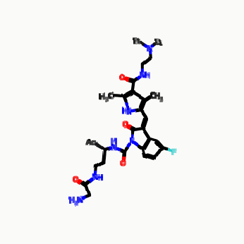 CCN(CC)CCNC(=O)c1c(C)[nH]c(/C=C2\C(=O)N(C(=O)N[C@@H](CCNC(=O)CN)C(C)=O)c3ccc(F)cc32)c1C